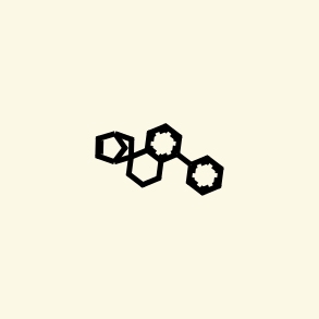 C1=CC2CC1CC21CCCc2c(-c3ccccc3)cccc21